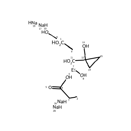 CC(=O)O.CCC(=O)O.CCO.CO.O=C(O)C1(O)CC1.[NaH].[NaH].[NaH].[NaH]